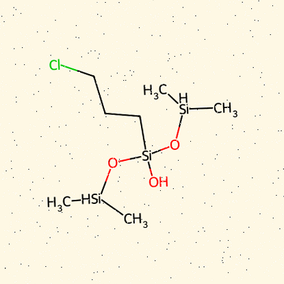 C[SiH](C)O[Si](O)(CCCCl)O[SiH](C)C